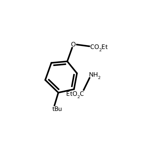 CCOC(=O)Oc1ccc(C(C)(C)C)cc1.CCOC(N)=O